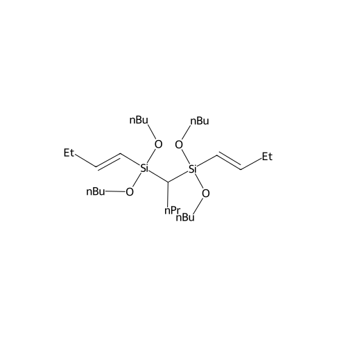 CCC=C[Si](OCCCC)(OCCCC)C(CCC)[Si](C=CCC)(OCCCC)OCCCC